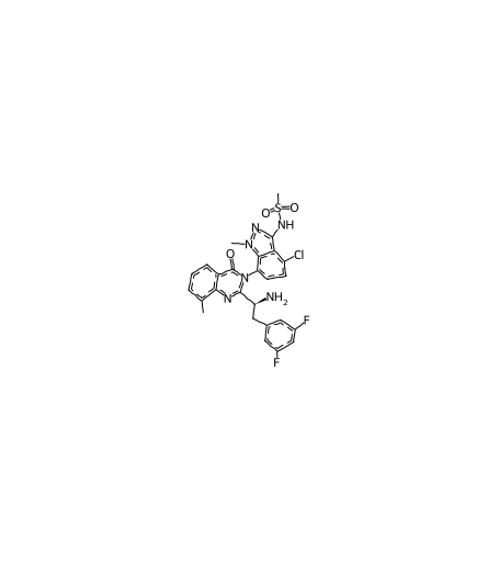 Cc1cccc2c(=O)n(-c3ccc(Cl)c4c(NS(C)(=O)=O)nn(C)c34)c([C@@H](N)Cc3cc(F)cc(F)c3)nc12